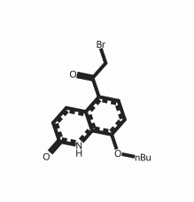 CCCCOc1ccc(C(=O)CBr)c2ccc(=O)[nH]c12